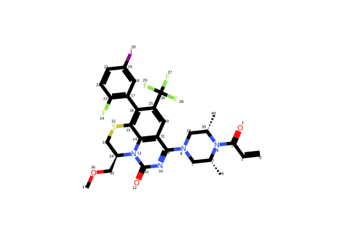 C=CC(=O)N1[C@H](C)CN(c2nc(=O)n3c4c(c(-c5cc(I)ccc5F)c(C(F)(F)F)cc24)SC[C@@H]3COC)C[C@@H]1C